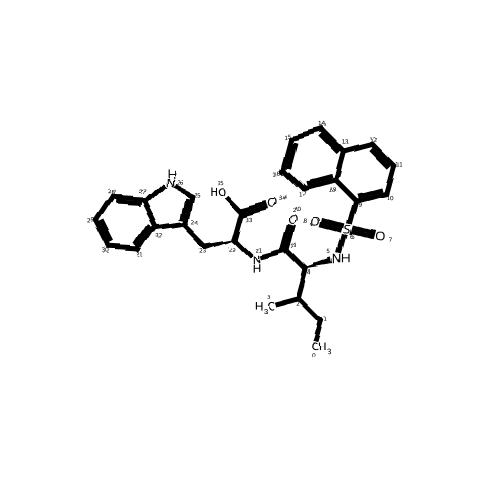 CCC(C)[C@H](NS(=O)(=O)c1cccc2ccccc12)C(=O)N[C@@H](Cc1c[nH]c2ccccc12)C(=O)O